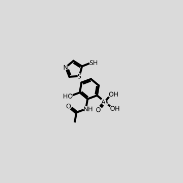 CC(=O)Nc1c(O)cccc1[As](=O)(O)O.Sc1cncs1